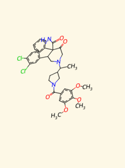 COc1cc(C(=O)N2CCC(C(C)N3CC(=O)C(C(N)=O)(c4ccccc4)C(c4ccc(Cl)c(Cl)c4)C3)C2)cc(OC)c1OC